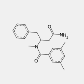 Cc1cc(C)cc(C(=O)N(C)C(CC(N)=O)Cc2ccccc2)c1